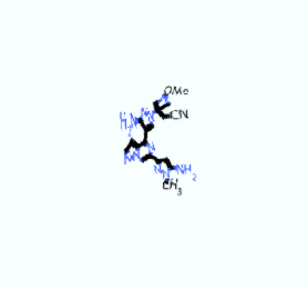 CON1CC(CC#N)(n2cc(-c3nc(-c4cc(N)n(C)n4)cn4nccc34)c(N)n2)C1